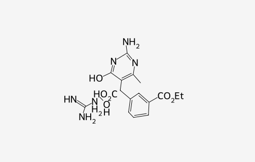 CCOC(=O)c1cccc(Cc2c(C)nc(N)nc2O)c1.N=C(N)N.O=C(O)O